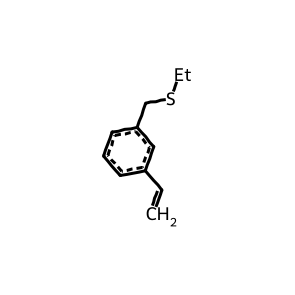 C=Cc1cccc(CSCC)c1